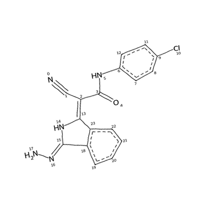 N#CC(C(=O)Nc1ccc(Cl)cc1)=C1NC(=NN)c2ccccc21